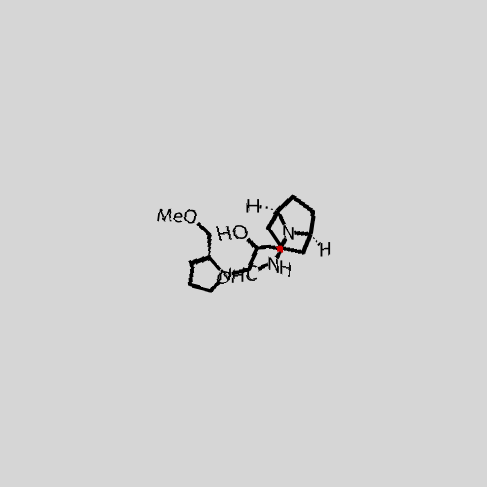 COC[C@@H]1CCCN1CC(O)CN1[C@@H]2CC[C@H]1C[C@@H](NC=O)C2